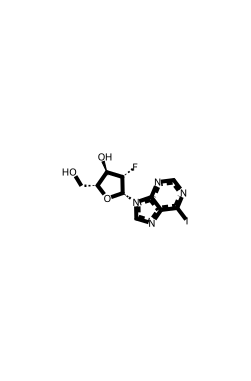 OC[C@H]1O[C@@H](n2cnc3c(I)ncnc32)[C@@H](F)[C@@H]1O